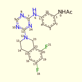 CC(=O)Nc1cccc(Nc2ncnc(N3CCc4cc(F)cc(F)c4C3)n2)c1